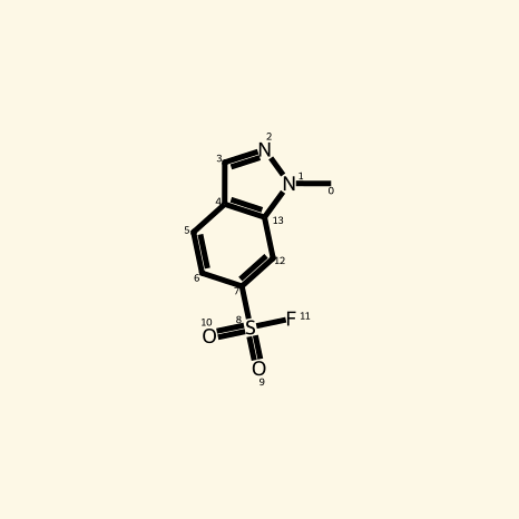 Cn1ncc2ccc(S(=O)(=O)F)cc21